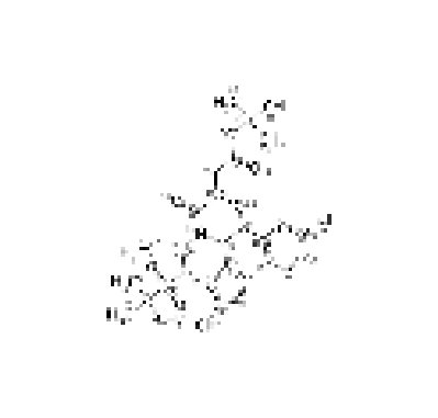 CC[C@@H](CS(=O)(=O)C(C)(C)C)N1C(=O)[C@@H](CC(=O)OC(C)(C)C)OC(c2cccc(Cl)c2)C1c1ccc(Cl)s1